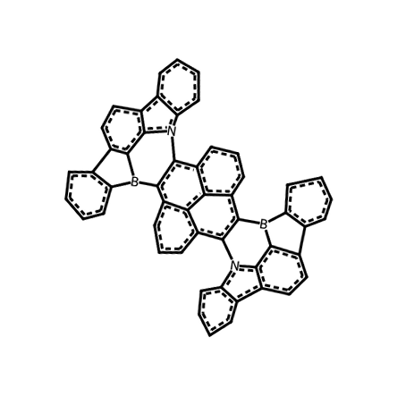 c1ccc2c(c1)B1c3c(c4cccc5c6c(c7cccc3c7c54)-n3c4ccccc4c4ccc5c(c43)B6c3ccccc3-5)-n3c4ccccc4c4ccc-2c1c43